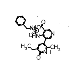 CCc1cc(-c2cncc(C(=O)O)c2NS(=O)(=O)NCc2ccccc2)c(C)[nH]c1=O